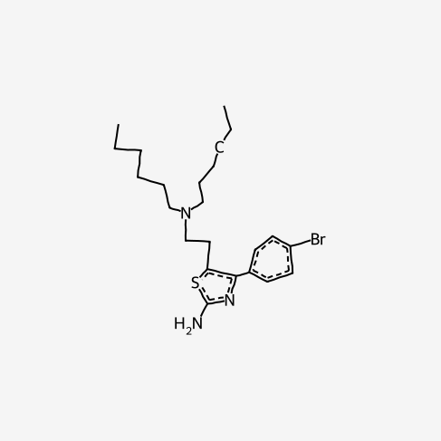 CCCCCCN(CCCCCC)CCc1sc(N)nc1-c1ccc(Br)cc1